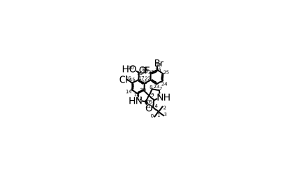 CC(C)(C)CC1NCCC12C(=O)Nc1cc(Cl)c(C(=O)O)c(-c3cccc(Br)c3F)c12